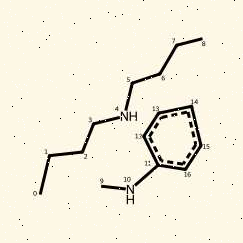 CCCCNCCCC.CNc1ccccc1